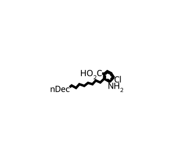 CCCCCCCCCCCCCCCCCCc1c(C(=O)O)ccc(Cl)c1N